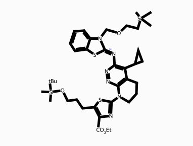 CCOC(=O)c1nc(N2CCCc3c2nnc(/N=c2\sc4ccccc4n2COCC[Si](C)(C)C)c3C2CC2)sc1CCCO[Si](C)(C)C(C)(C)C